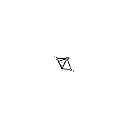 F[SH]123SC1(S2)S3